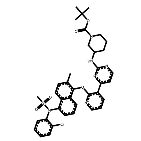 Cc1ccc2c(N(c3ccccc3Cl)S(C)(=O)=O)cccc2c1Oc1ncccc1-c1ccnc(NC2CCCN(C(=O)OC(C)(C)C)C2)n1